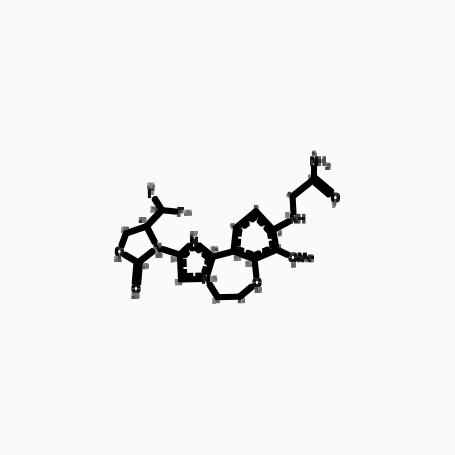 COc1c(NCC(N)=O)ccc2c1OCCn1cc(N3C(=O)OCC3C(F)F)nc1-2